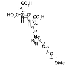 COCCOCCOCc1cn(CCCCC(NC(=O)NC(CCC(=O)O)C(=O)O)C(=O)O)nn1